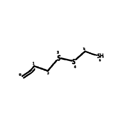 C=CCSSCS